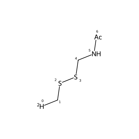 [2H]CSSCNC(C)=O